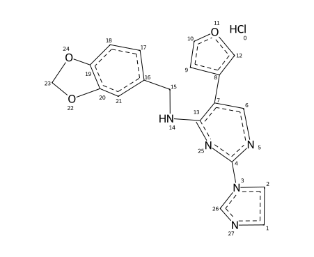 Cl.c1cn(-c2ncc(-c3ccoc3)c(NCc3ccc4c(c3)OCO4)n2)cn1